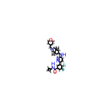 O=C(NC12CC(C1)C2)c1cc(F)c(F)c(-c2ccc(NC3C[C@@H]4CN(CC5CCOCC5)C[C@@H]4C3)nn2)c1